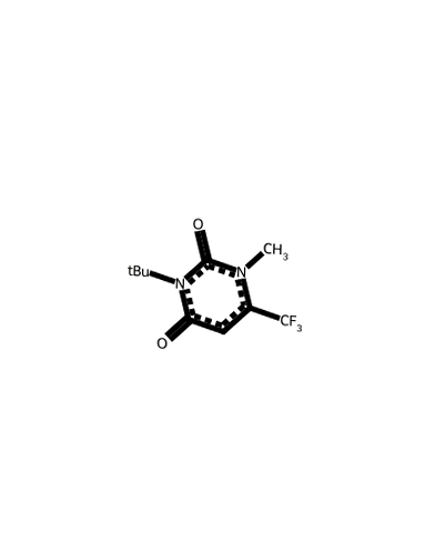 Cn1c(C(F)(F)F)cc(=O)n(C(C)(C)C)c1=O